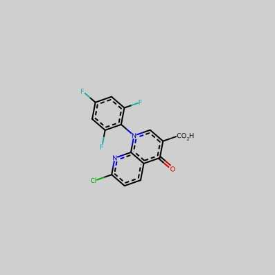 O=C(O)c1cn(-c2c(F)cc(F)cc2F)c2nc(Cl)ccc2c1=O